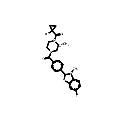 C[C@@H]1CN(C(=O)c2ccc(C3Oc4cc(F)ccc4N3C)cc2)CCN1C(=O)C1(O)CC1